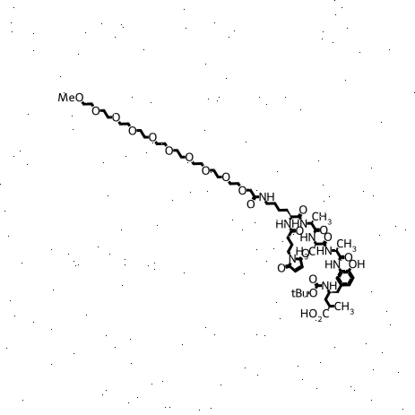 COCCOCCOCCOCCOCCOCCOCCOCCOCCOCC(=O)NCCCC[C@H](NC(=O)CCCN1C(=O)C=CC1=O)C(=O)N[C@@H](C)C(=O)N[C@@H](C)C(=O)N[C@@H](C)C(=O)Nc1cc(C[C@@H](C[C@H](C)C(=O)O)NC(=O)OC(C)(C)C)ccc1O